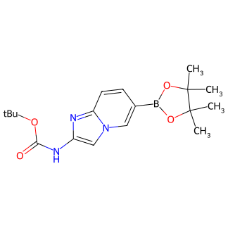 CC(C)(C)OC(=O)Nc1cn2cc(B3OC(C)(C)C(C)(C)O3)ccc2n1